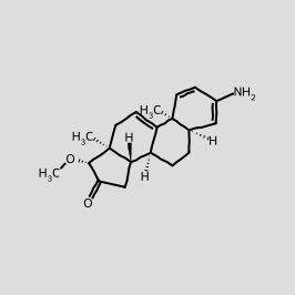 CO[C@H]1C(=O)C[C@H]2[C@@H]3CC[C@@H]4C=C(N)C=C[C@]4(C)C3=CC[C@]12C